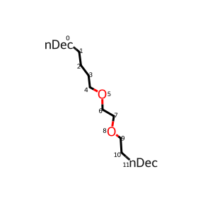 CCCCCCCCCCCCCCOCCOCCCCCCCCCCCC